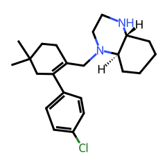 CC1(C)CCC(CN2CCN[C@@H]3CCCC[C@H]32)=C(c2ccc(Cl)cc2)C1